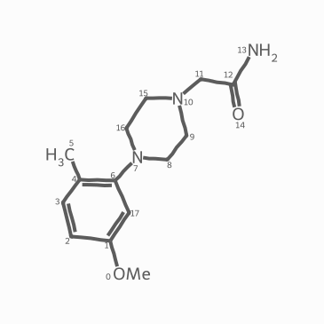 COc1ccc(C)c(N2CCN(CC(N)=O)CC2)c1